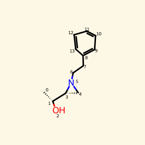 C[C@@H](O)[C@H]1CN1CCc1ccccc1